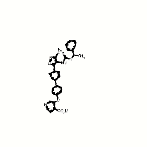 Cc1noc(-c2ccc(-c3ccc(Oc4cnccc4C(=O)O)cc3)cc2)c1NC(=O)O[C@H](C)c1ccccc1